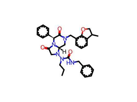 CCCN(C(=O)NCc1ccccc1)N1CC(=O)N2[C@@H](c3ccccc3)C(=O)N(Cc3cccc4c3OCC4C)C[C@@H]21